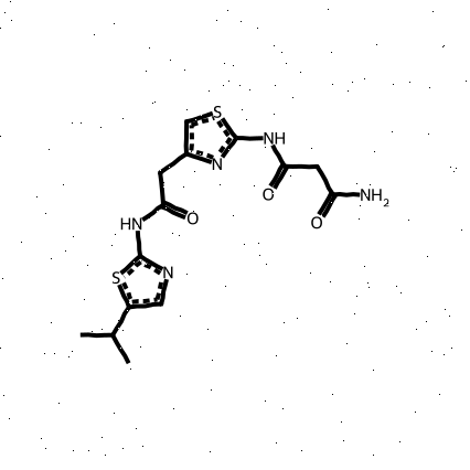 CC(C)c1cnc(NC(=O)Cc2csc(NC(=O)CC(N)=O)n2)s1